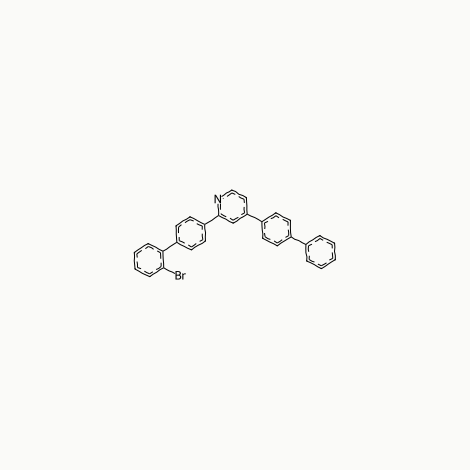 Brc1ccccc1-c1ccc(-c2cc(-c3ccc(-c4ccccc4)cc3)ccn2)cc1